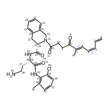 C=C/C=C\C=C(/C)C(=O)CCC(=O)N1Cc2ccccc2C[C@H]1C(=O)N[C@@H](CCN)C(=O)Nc1c(C)cccc1Cl